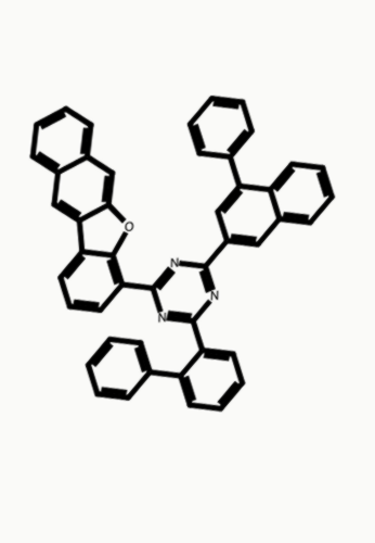 c1ccc(-c2ccccc2-c2nc(-c3cc(-c4ccccc4)c4ccccc4c3)nc(-c3cccc4c3oc3cc5ccccc5cc34)n2)cc1